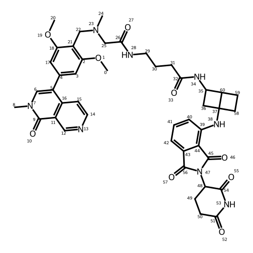 COc1cc(-c2cn(C)c(=O)c3cnccc23)cc(OC)c1CN(C)CC(=O)NCCCC(=O)NC1CC2(Nc3cccc4c3C(=O)N(C3CCC(=O)NC3=O)C4=O)CCC12